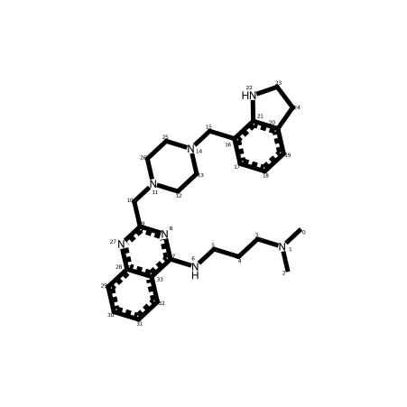 CN(C)CCCNc1nc(CN2CCN(Cc3cccc4c3NCC4)CC2)nc2ccccc12